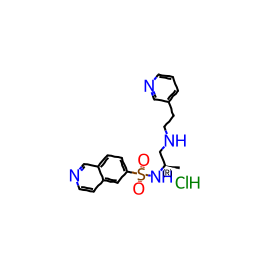 C[C@H](CNCCc1cccnc1)NS(=O)(=O)c1ccc2cnccc2c1.Cl